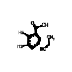 CCO.O=C(O)c1cccc(S)c1S